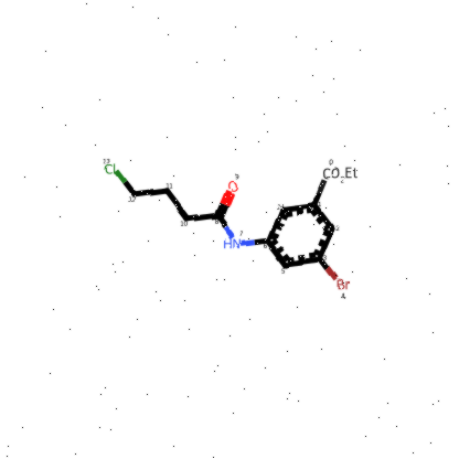 CCOC(=O)c1cc(Br)cc(NC(=O)CCCCl)c1